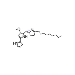 CCCCCCCCCC1=N/C(=C/c2[nH]c(-c3ccc[nH]3)cc2OC)C=C1